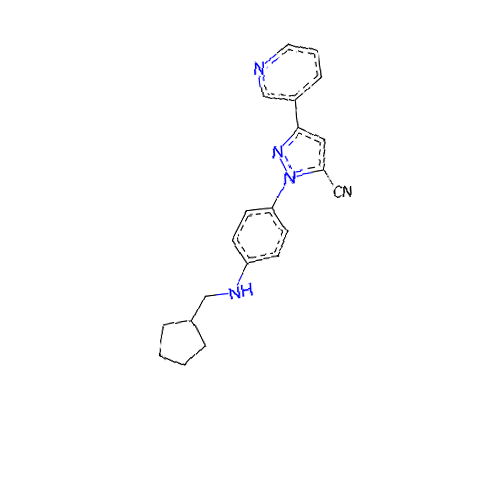 N#Cc1cc(-c2cccnc2)nn1-c1ccc(NCC2CCCC2)cc1